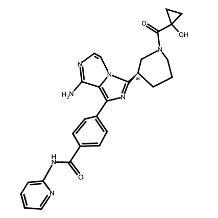 Nc1nccn2c([C@@H]3CCCN(C(=O)C4(O)CC4)C3)nc(-c3ccc(C(=O)Nc4ccccn4)cc3)c12